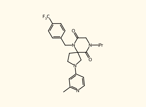 Cc1cc(N2CCC3(C2)C(=O)N(C(C)C)CC(=O)N3Cc2ccc(C(F)(F)F)cc2)ccn1